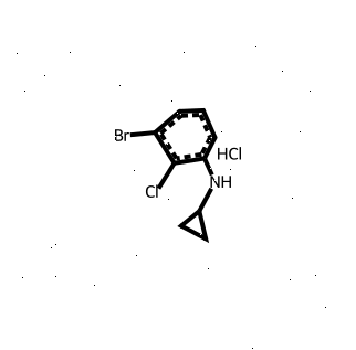 Cl.Clc1c(Br)cccc1NC1CC1